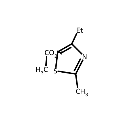 CC(=O)O.CCc1csc(C)n1